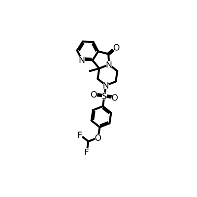 CC12CN(S(=O)(=O)c3ccc(OC(F)F)cc3)CCN1C(=O)c1cccnc12